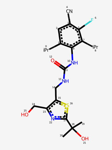 CC(C)c1cc(C#N)c(F)c(C(C)C)c1NC(=O)NCc1sc(C(C)(C)O)nc1CO